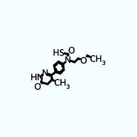 CCOCCN(C(=O)S)c1ccc(C2=NNC(=O)CC2C)cc1